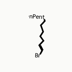 CCCC[CH]CCCCCC=CBr